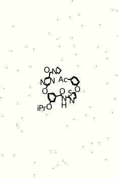 CC(=O)c1cccc(Oc2cnc(NC(=O)c3cc(Oc4cnc(C(=O)N5CCC5)cn4)cc(OC(C)C)c3)s2)c1